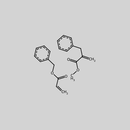 C=C(Cc1ccccc1)C(=O)OC.C=CC(=O)OCc1ccccc1